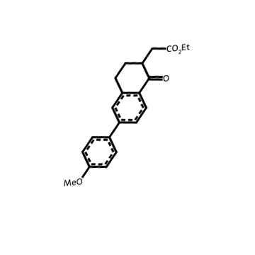 CCOC(=O)CC1CCc2cc(-c3ccc(OC)cc3)ccc2C1=O